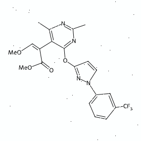 COC=C(C(=O)OC)c1c(C)nc(C)nc1Oc1ccn(-c2cccc(C(F)(F)F)c2)n1